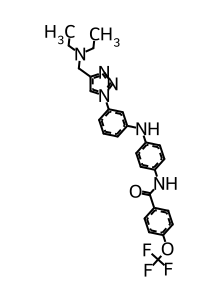 CCN(CC)Cc1cn(-c2cccc(Nc3ccc(NC(=O)c4ccc(OC(F)(F)F)cc4)cc3)c2)nn1